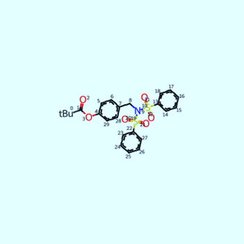 CC(C)(C)C(=O)Oc1ccc(CN(S(=O)(=O)c2ccccc2)S(=O)(=O)c2ccccc2)cc1